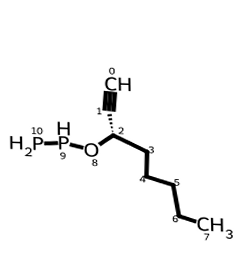 C#C[C@H](CCCCC)OPP